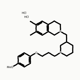 COc1ccc(OCCCN2CCCC(CN3CCc4cc(C)c(C)cc4C3)C2)cc1.Cl.Cl